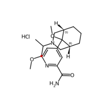 COCC(C)N1C[C@H]2CCC[C@@H](C1)C2(OC)c1ccnc(C(N)=O)c1.Cl